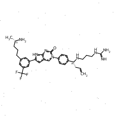 C=CC[C@@H](NCCCNC(=N)N)c1ccc(-n2cc3cc(-c4cc(CCC[C@H](C)N)cc(C(F)(F)F)c4)[nH]c3nc2=O)cc1